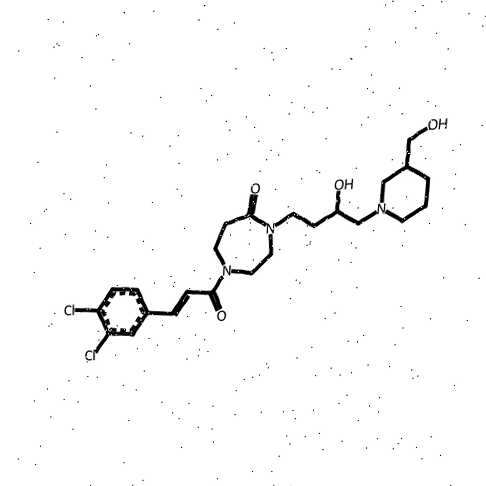 O=C(/C=C/c1ccc(Cl)c(Cl)c1)N1CCC(=O)N(CCC(O)CN2CCCC(CO)C2)CC1